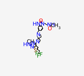 CNc1nc(N2CCC3(CCN(Cc4ccc5c(c4)[nH]c(=O)n5CCNC(C)=O)C3)C2)c2cc(CC(F)(F)F)sc2n1